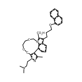 Cc1nn(CCN(C)C)c2c1-c1cccc3c(CCCOc4cccc5ccccc45)c(C(=O)O)n(c13)CCCCOC2